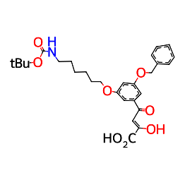 CC(C)(C)OC(=O)NCCCCCCOc1cc(OCc2ccccc2)cc(C(=O)C=C(O)C(=O)O)c1